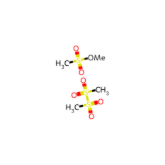 COS(C)(=O)=O.CS(=O)(=O)S(C)(=O)=O